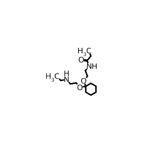 CCNCCOC1(OCCNC(=O)CC)CCCCC1